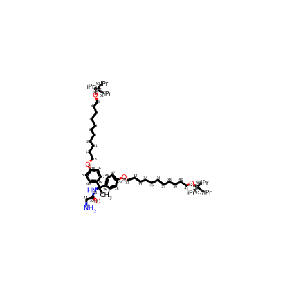 CC(C)[Si](OCCCCCCCCCCCOc1ccc(C(C)(NC(=O)CN)c2ccc(OCCCCCCCCCCCO[Si](C(C)C)(C(C)C)C(C)C)cc2)cc1)(C(C)C)C(C)C